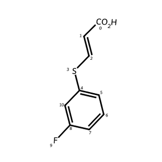 O=C(O)C=CSc1cccc(F)c1